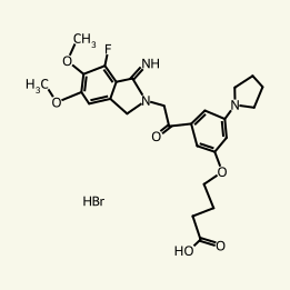 Br.COc1cc2c(c(F)c1OC)C(=N)N(CC(=O)c1cc(OCCCC(=O)O)cc(N3CCCC3)c1)C2